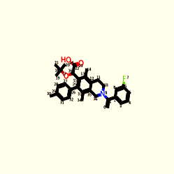 C=C(c1cccc(F)c1)N1CCc2c(C)c(C(OC(C)(C)C)C(=O)O)c(-c3ccc(C)cc3)c(C)c2C1